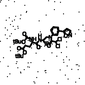 CC(C)C(CN(C(=O)C(Cl)Cl)c1cccc(-c2ccno2)c1)NC(=O)C(CCC(=O)OC(C)(C)C)NC(=O)OC(C)(C)C